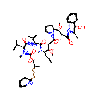 CC[C@H](C)[C@@H]([C@@H](CC(=O)N1CCC[C@H]1[C@H](OC)[C@@H](C)C(=O)N[C@H](C)[C@@H](O)c1ccccc1)OC)N(C)C(=O)[C@@H](NC(=O)[C@H](C(C)C)N(C)C(=O)OC[C@@H](C)SSc1ccccn1)C(C)C